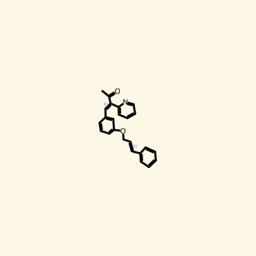 CC(=O)/C(=C/c1cccc(OC/C=C/c2ccccc2)c1)c1ccccn1